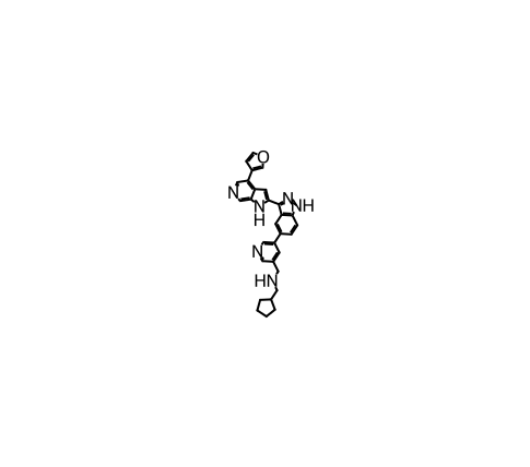 c1cc(-c2cncc3[nH]c(-c4n[nH]c5ccc(-c6cncc(CNCC7CCCC7)c6)cc45)cc23)co1